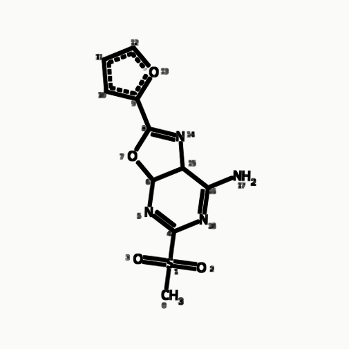 CS(=O)(=O)C1=NC2OC(c3ccco3)=NC2C(N)=N1